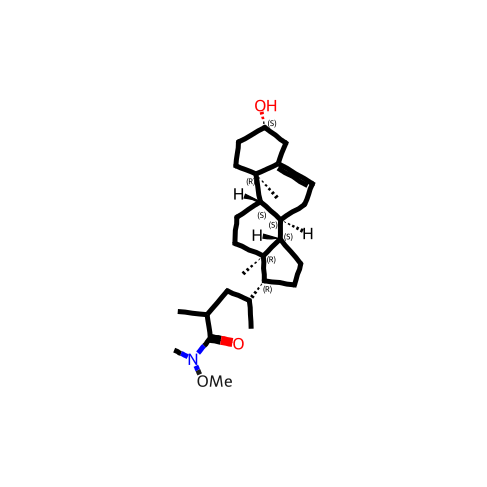 CON(C)C(=O)C(C)CC(C)[C@H]1CC[C@H]2[C@@H]3CC=C4C[C@@H](O)CC[C@]4(C)[C@H]3CC[C@]12C